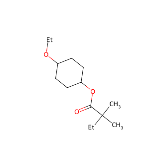 CCOC1CCC(OC(=O)C(C)(C)CC)CC1